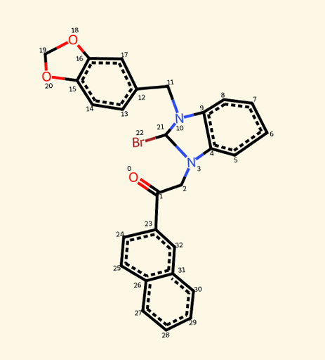 O=C(CN1c2ccccc2N(Cc2ccc3c(c2)OCO3)C1Br)c1ccc2ccccc2c1